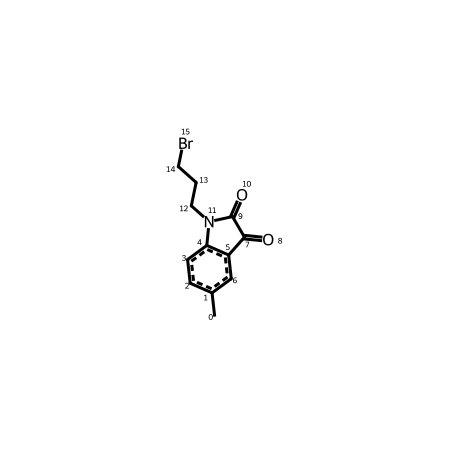 Cc1ccc2c(c1)C(=O)C(=O)N2CCCBr